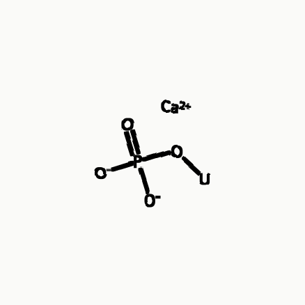 O=P([O-])([O-])[O][U].[Ca+2]